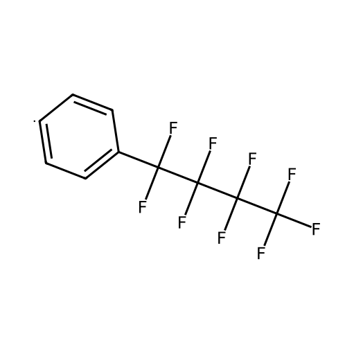 FC(F)(F)C(F)(F)C(F)(F)C(F)(F)c1cc[c]cc1